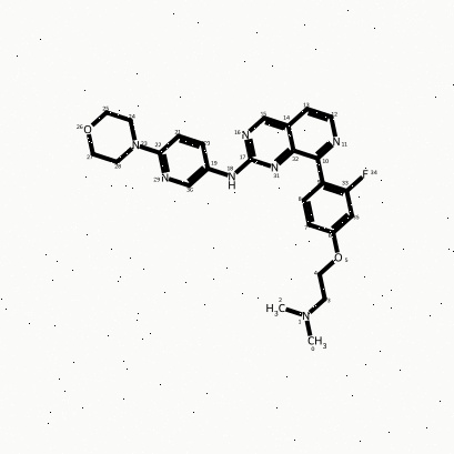 CN(C)CCOc1ccc(-c2nccc3cnc(Nc4ccc(N5CCOCC5)nc4)nc23)c(F)c1